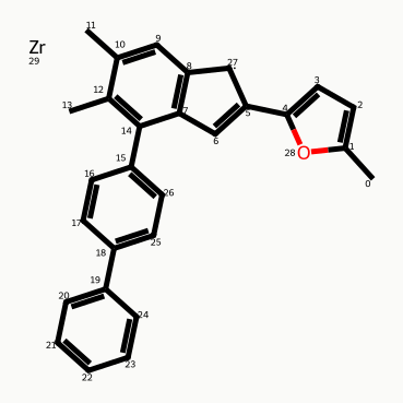 Cc1ccc(C2=Cc3c(cc(C)c(C)c3-c3ccc(-c4ccccc4)cc3)[CH]2)o1.[Zr]